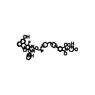 C#Cc1cccc2cc(O)cc(-c3ncc4c(N5CC6CCC(C5)N6)nc(OCC5(CN6CCC(CN7CCN(c8ccc9c(c8)C(=O)N(C8CCC(=O)NC8=O)C9=O)CC7)CC6)CC5)nc4c3F)c12